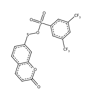 O=c1ccc2ccc(SOS(=O)(=O)c3cc(C(F)(F)F)cc(C(F)(F)F)c3)cc2o1